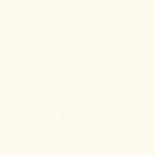 COc1ccc(SC=CC(=O)O)cc1